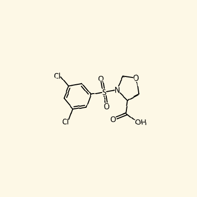 O=C(O)C1COCN1S(=O)(=O)c1cc(Cl)cc(Cl)c1